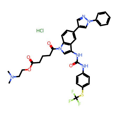 CN(C)CCOC(=O)CCCC(=O)n1cc(NC(=O)Nc2ccc(SC(F)(F)F)cc2)c2cc(-c3cnn(-c4ccccc4)c3)ccc21.Cl